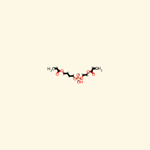 C=CC(=O)OCCCCOP(=O)(O)OCCOC(=O)C=C